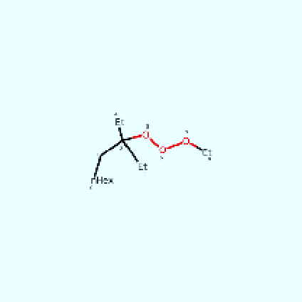 CCCCCCCC(CC)(CC)OOOCC